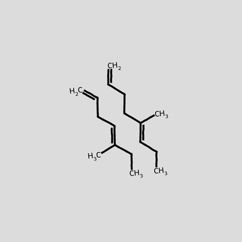 C=CC/C=C(\C)CC.C=CCC/C(C)=C/CC